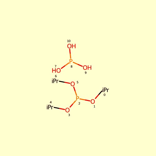 CC(C)OP(OC(C)C)OC(C)C.OP(O)O